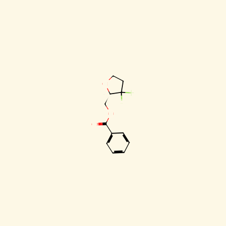 O=C(OC[C@H]1O[CH][CH]C1(F)F)c1ccccc1